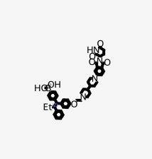 CC/C(=C(/c1ccc(OCCN2CCC(C3CCN(c4ccc5c(c4)C(=O)N(C4CCC(=O)NC4=O)C5=O)CC3)CC2)cc1)c1ccc(B(O)O)cc1)c1ccccc1